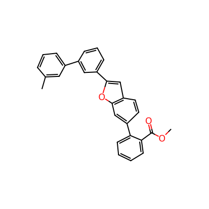 COC(=O)c1ccccc1-c1ccc2cc(-c3cccc(-c4cccc(C)c4)c3)oc2c1